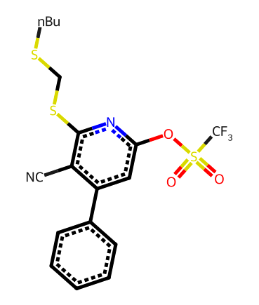 CCCCSCSc1nc(OS(=O)(=O)C(F)(F)F)cc(-c2ccccc2)c1C#N